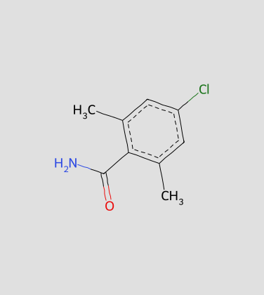 Cc1cc(Cl)cc(C)c1C(N)=O